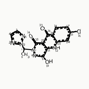 CC(n1nccn1)n1nc(O)c2[nH]c3cc(Cl)ccc3c(=O)c2c1=O